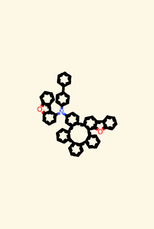 c1ccc(-c2ccc(N(c3ccc4c(c3)c3ccccc3c3ccccc3c3ccccc3c3c4ccc4c5ccccc5oc43)c3cccc4oc5ccccc5c34)cc2)cc1